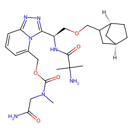 CN(CC(N)=O)C(=O)OCc1cccc2nnc([C@@H](COCC3C[C@@H]4CC[C@H]3C4)NC(=O)C(C)(C)N)n12